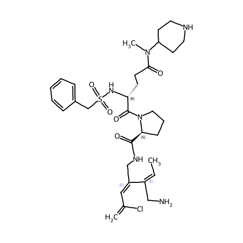 C=C(Cl)/C=C(CNC(=O)[C@@H]1CCCN1C(=O)[C@@H](CCC(=O)N(C)C1CCNCC1)NS(=O)(=O)Cc1ccccc1)\C(=C/C)CN